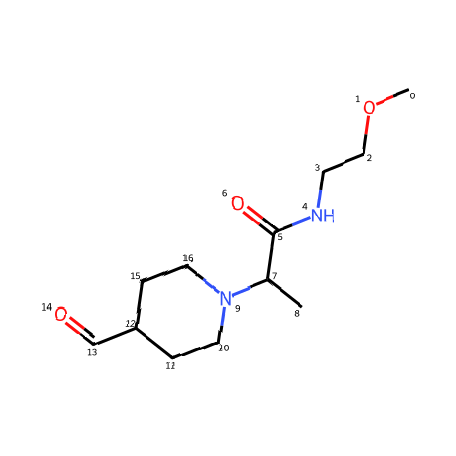 COCCNC(=O)C(C)N1CCC(C=O)CC1